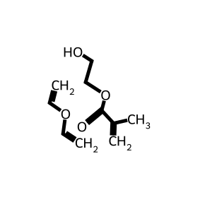 C=C(C)C(=O)OCCO.C=COC=C